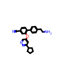 N#Cc1ccc(-c2ccc(CCN)cc2)c(Oc2cnnc(C3CCCC3)c2)c1